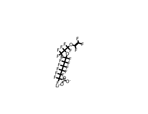 O=S(=O)([O-])C(F)(F)C(F)(F)C(F)(F)C(F)(F)C(F)(F)C(F)(F)OC(F)(C(F)(F)F)C(F)(F)OC(F)=C(F)F.[Li+]